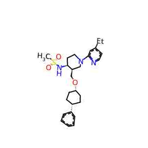 CCc1ccnc(N2CC[C@H](NS(C)(=O)=O)[C@H](CO[C@H]3CC[C@@H](c4ccccc4)CC3)C2)c1